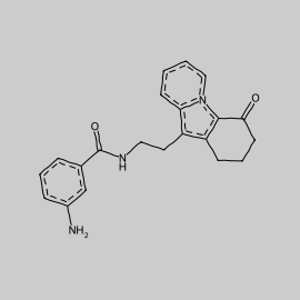 Nc1cccc(C(=O)NCCc2c3c(n4ccccc24)C(=O)CCC3)c1